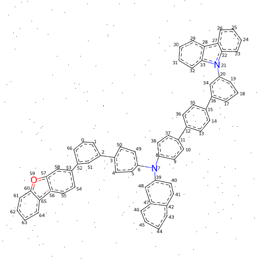 c1cc(-c2ccc(N(c3ccc(-c4ccc(-c5cccc(-n6c7ccccc7c7ccccc76)c5)cc4)cc3)c3ccc4ccccc4c3)cc2)cc(-c2ccc3c(c2)oc2ccccc23)c1